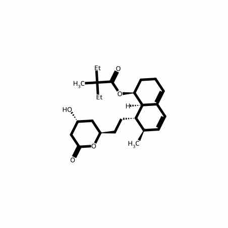 CCC(C)(CC)C(=O)O[C@H]1CCC=C2C=C[C@@H](C)[C@H](CC[C@@H]3C[C@@H](O)CC(=O)O3)[C@H]21